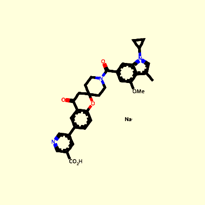 COc1cc(C(=O)N2CCC3(CC2)CC(=O)c2cc(-c4cncc(C(=O)O)c4)ccc2O3)cc2c1c(C)cn2C1CC1.[Na]